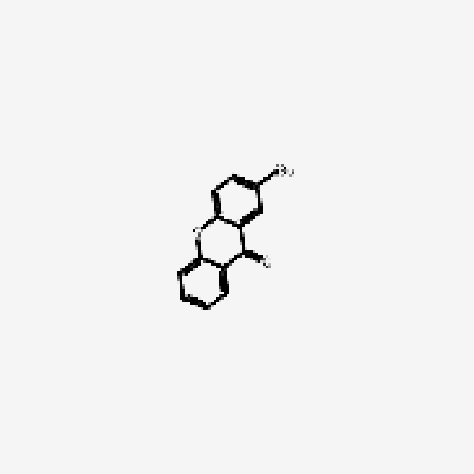 CCC(C)c1ccc2sc3ccccc3c(=O)c2c1